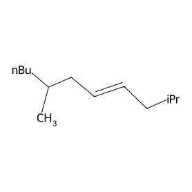 CCCCC(C)CC=CCC(C)C